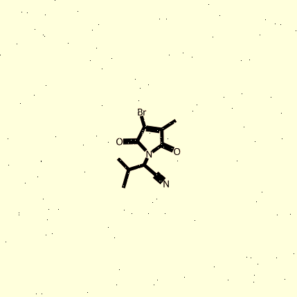 CC1=C(Br)C(=O)N(C(C#N)C(C)C)C1=O